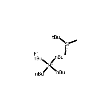 CCCC[N+](CCCC)(CCCC)CCCC.C[SiH](C)C(C)(C)C.[F-]